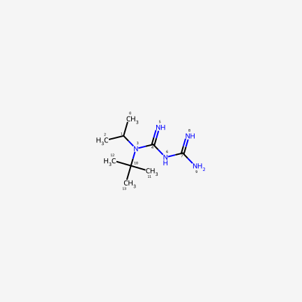 CC(C)N(C(=N)NC(=N)N)C(C)(C)C